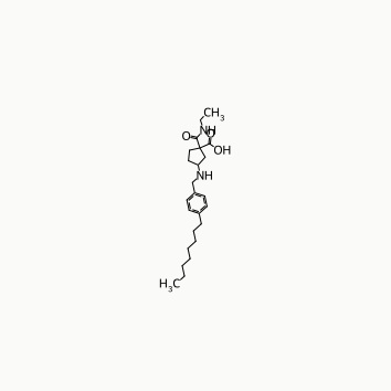 CCCCCCCCc1ccc(CNC2CCC(C(=O)O)(C(=O)NCC)C2)cc1